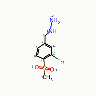 CS(=O)(=O)c1ccc(CNN)cc1F